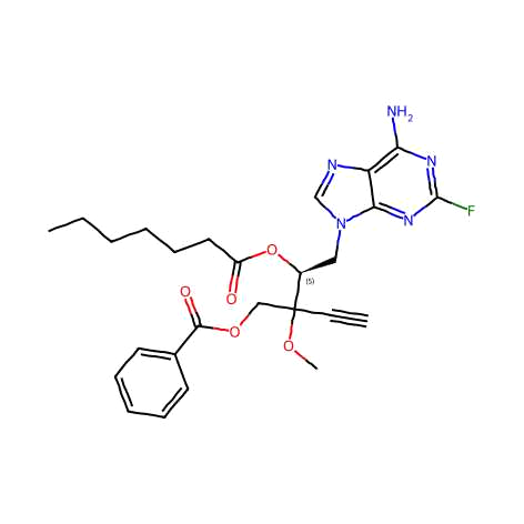 C#CC(COC(=O)c1ccccc1)(OC)[C@H](Cn1cnc2c(N)nc(F)nc21)OC(=O)CCCCCC